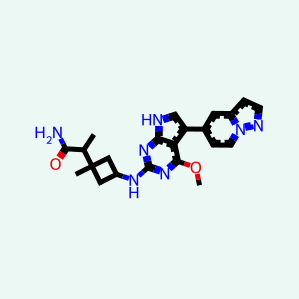 COc1nc(NC2CC(C)(C(C)C(N)=O)C2)nc2[nH]cc(-c3ccn4nccc4c3)c12